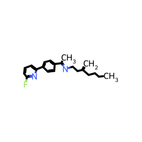 C=C(CCCC)CC/N=C(\C)c1ccc(-c2cccc(F)n2)cc1